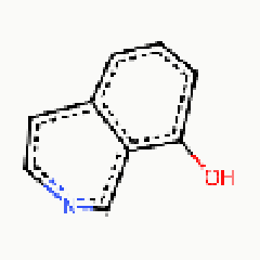 Oc1cccc2ccn[c]c12